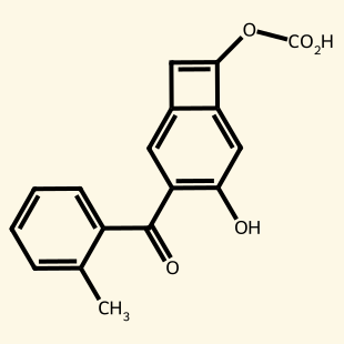 Cc1ccccc1C(=O)c1cc2c(cc1O)C(OC(=O)O)=C2